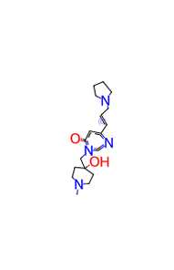 CN1CCC(O)(Cn2cnc(/C=C/CN3CCCC3)cc2=O)CC1